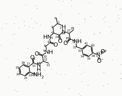 CC(C)CC(NC(=O)CNC(=O)C(C)NC(=O)c1ccccc1N)C(=O)NC(C)C(=O)NCc1ccc([N+](=O)[O-])cc1